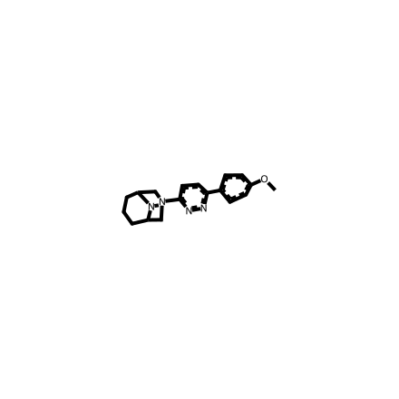 COc1ccc(-c2ccc(N3CC4CCCC(C3)N4C)nn2)cc1